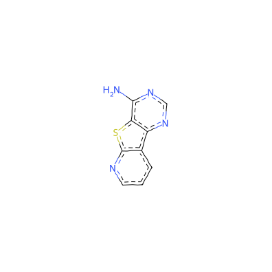 Nc1ncnc2c1sc1ncccc12